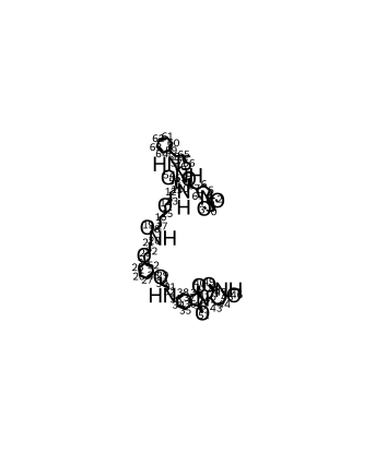 CS(=O)(=O)N1CCC(C(=O)N[C@@H](CCOCCCC(=O)NCCOc2cccc(OCCNc3ccc4c(c3)C(=O)N(C3CCC(=O)NC3=O)C4=O)c2)C(=O)NC2NC(c3ccccc3)CS2)C1